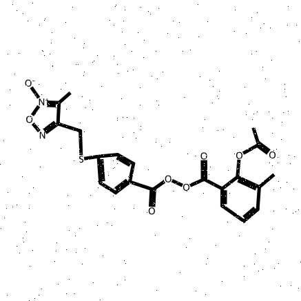 CC(=O)Oc1c(C)cccc1C(=O)OOC(=O)c1ccc(SCc2no[n+]([O-])c2C)cc1